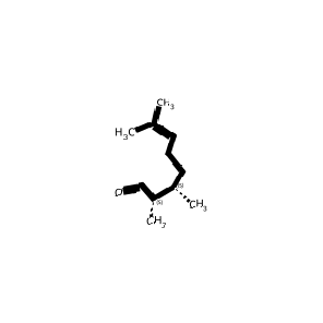 CC(C)=CCC[C@H](C)[C@H](C)C=O